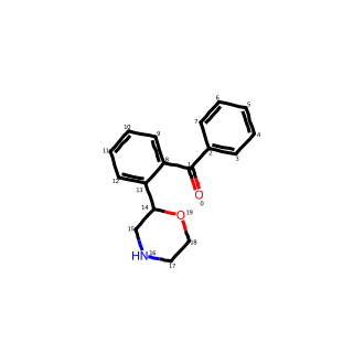 O=C(c1ccccc1)c1ccccc1C1CNCCO1